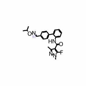 Cc1nn(C)c(F)c1C(=O)Nc1ccccc1-c1ccc(/C=N/OC(C)C)cc1